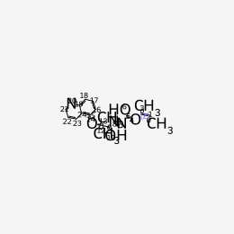 C/C=C(/C)OC(=O)NNC(=O)C(C)(C)Oc1cccc2ncccc12